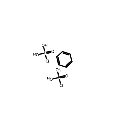 O=P(O)(O)Cl.O=P(O)(O)Cl.c1ccccc1